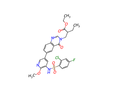 CCOC(=O)C(CC)Cn1cnc2ccc(-c3cnc(OC)c(NS(=O)(=O)c4ccc(F)cc4Cl)c3)cc2c1=O